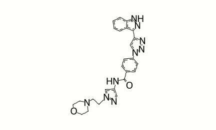 O=C(Nc1cnn(CCN2CCOCC2)c1)c1ccc(-n2cc(-c3n[nH]c4ccccc34)nn2)cc1